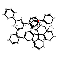 CC1CC(C2=C(C3=CC(c4ccc(C5=CCCC=C5)cc4)=NC(C4C=CC=CC4)N3)CCC=C2)=CC=C1C1(C2CC=CCC2)C2=CCCCC2(C)CC2C=CC=CC21